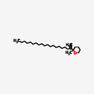 CCCCCCCCCCCCCCCCCC[SiH](C)C1(C)CCCCO1